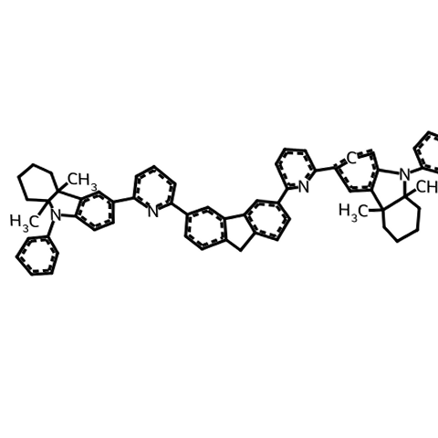 CC12CCCCC1(C)N(c1ccccc1)c1ccc(-c3cccc(-c4ccc5c(c4)-c4cc(-c6cccc(-c7ccc8c(c7)C7(C)CCCCC7(C)N8c7ccccc7)n6)ccc4C5)n3)cc12